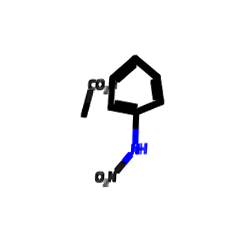 CC(=O)O.O=[N+]([O-])Nc1ccccc1